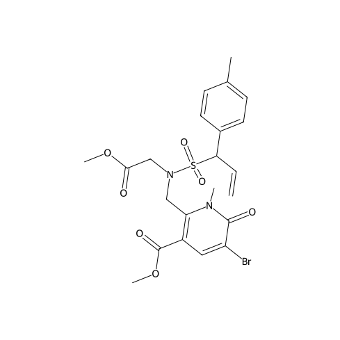 C=CC(c1ccc(C)cc1)S(=O)(=O)N(CC(=O)OC)Cc1c(C(=O)OC)cc(Br)c(=O)n1C